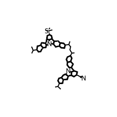 CC(C)c1ccc2cc3c(cc2c1)c1cc(C#N)cc2c4cc5cc(C(C)CCC(C)c6ccc7cc8c(cc7c6)c6cc([Si](C)(C)C)cc7c9cc%10cc(C(C)C)ccc%10cc9n8c76)ccc5cc4n3c12